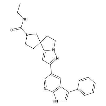 CCNC(=O)N1CCC2(CCn3nc(-c4cnc5[nH]cc(-c6ccccc6)c5c4)cc32)C1